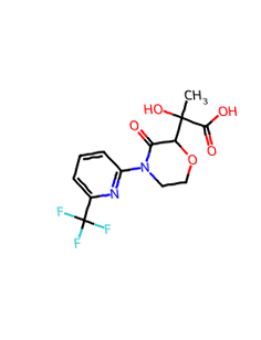 CC(O)(C(=O)O)C1OCCN(c2cccc(C(F)(F)F)n2)C1=O